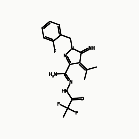 CC(C)=C1C(=N)N(Cc2ccccc2F)N=C1/C(N)=N/NC(=O)C(C)(F)F